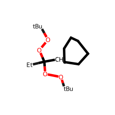 C1CCCCC1.CCC(C)(OOC(C)(C)C)OOC(C)(C)C